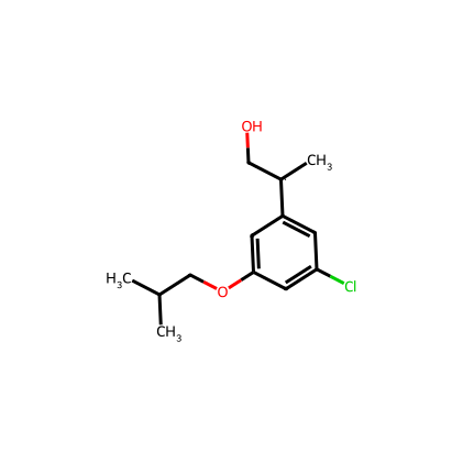 C[C](CO)c1cc(Cl)cc(OCC(C)C)c1